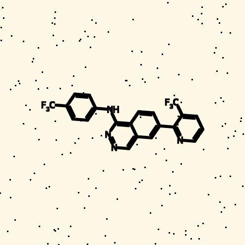 FC(F)(F)c1ccc(Nc2nncc3cc(-c4ncccc4C(F)(F)F)ccc23)cc1